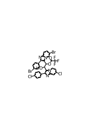 O=C(OC(c1c(-c2ccc(Br)cc2)nc2ccc(Br)cn12)C(O)c1c(-c2ccc(Cl)cc2)nc2cc(Cl)ccn12)C(F)(F)F